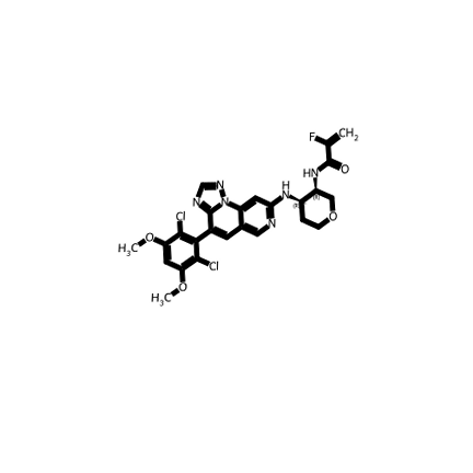 C=C(F)C(=O)N[C@H]1COCC[C@H]1Nc1cc2c(cn1)cc(-c1c(Cl)c(OC)cc(OC)c1Cl)c1ncnn12